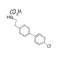 O=C(O)NCCc1ccc(-c2ccc(Cl)cc2)cc1